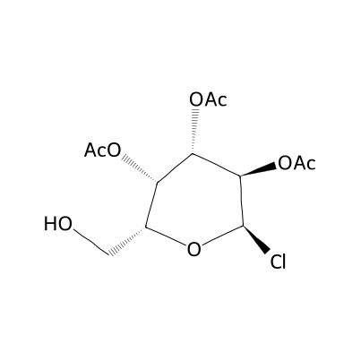 CC(=O)O[C@@H]1[C@@H](OC(C)=O)[C@@H](Cl)O[C@H](CO)[C@@H]1OC(C)=O